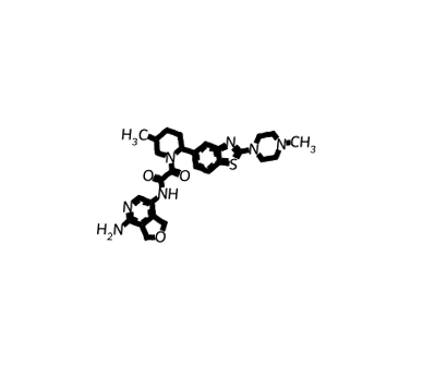 CC1CCC(c2ccc3sc(N4CCN(C)CC4)nc3c2)N(C(=O)C(=O)Nc2cnc(N)c3c2COC3)C1